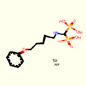 O=P(O)(O)C(NCCCCCOc1ccccc1)P(=O)(O)O.[Na].[Na]